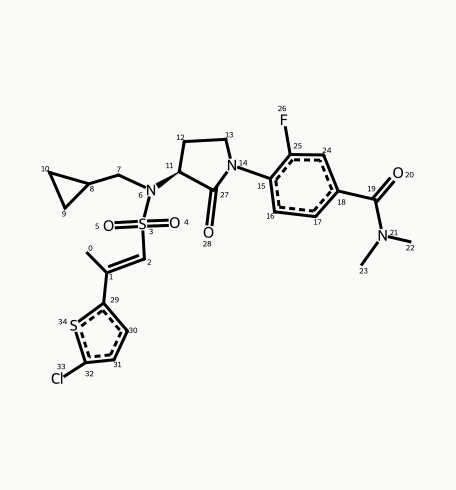 CC(=CS(=O)(=O)N(CC1CC1)[C@H]1CCN(c2ccc(C(=O)N(C)C)cc2F)C1=O)c1ccc(Cl)s1